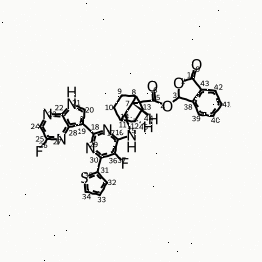 O=C1OC(OC(=O)[C@H]2C3CCC(CC3)[C@@H]2Nc2nc(-c3c[nH]c4ncc(F)nc34)nc(-c3cccs3)c2F)c2ccccc21